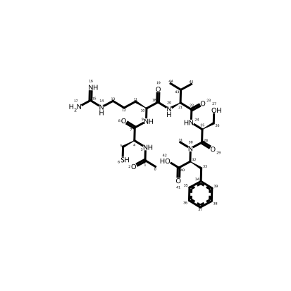 CC(=O)N[C@@H](CS)C(=O)N[C@@H](CCCNC(=N)N)C(=O)N[C@H](C(=O)N[C@@H](CO)C(=O)N(C)[C@@H](Cc1ccccc1)C(=O)O)C(C)C